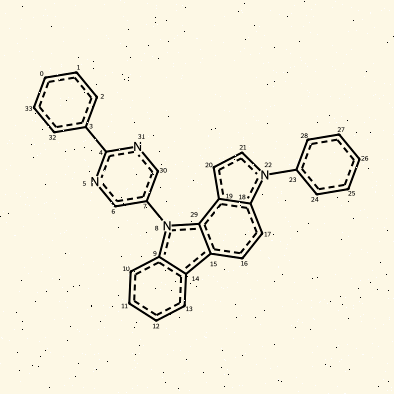 c1ccc(-c2ncc(-n3c4ccccc4c4ccc5c(ccn5-c5ccccc5)c43)cn2)cc1